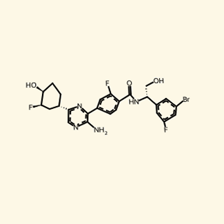 Nc1ncc([C@H]2CC[C@H](O)[C@H](F)C2)nc1-c1ccc(C(=O)N[C@H](CO)c2cc(F)cc(Br)c2)c(F)c1